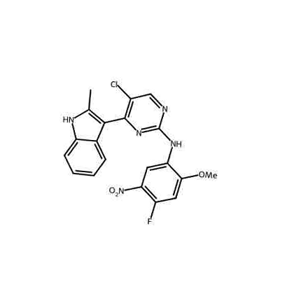 COc1cc(F)c([N+](=O)[O-])cc1Nc1ncc(Cl)c(-c2c(C)[nH]c3ccccc23)n1